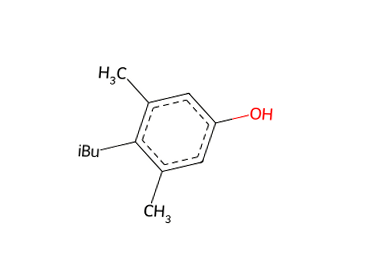 CCC(C)c1c(C)cc(O)cc1C